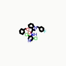 O=C(Nc1c(Cl)cncc1Cl)c1cn(Cc2ccc(F)cc2)c2cccc(OCc3ccccc3)c12